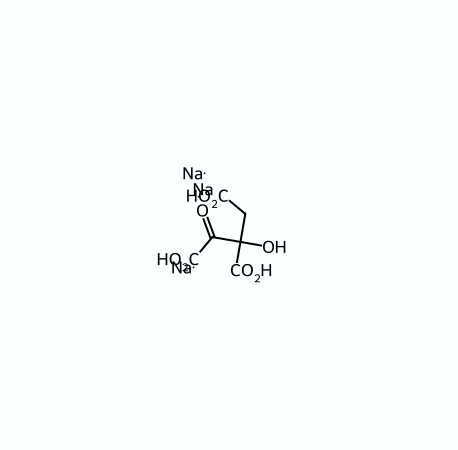 O=C(O)CC(O)(C(=O)O)C(=O)C(=O)O.[Na].[Na].[Na]